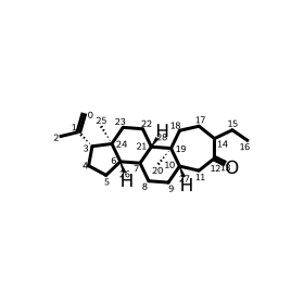 C=C(C)[C@H]1CC[C@H]2C3CC[C@H]4CC(=O)C(CC)CC[C@]4(C)[C@H]3CC[C@]12C